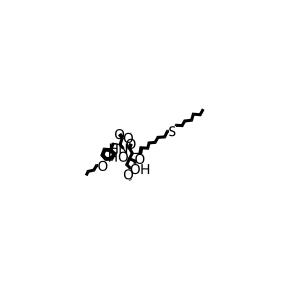 CCCCCCCSCCCCCCC=C[C@H](C(=O)N[C@@H](Cc1ccc(OCCCC)cc1)C(=O)OC)[C@@](O)(CCOC)C(=O)O